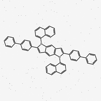 c1ccc(-c2ccc(-c3cc4cc5c(cc(-c6ccc(-c7ccccc7)cc6)n5-c5cccc6ccccc56)cc4n3-c3cccc4ccccc34)cc2)cc1